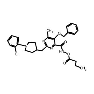 CCCC(=O)ONC(=O)c1nc(CC2CCN(c3ccccc3Cl)CC2)nc(C)c1OCc1ccccc1